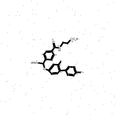 CCCCCCC(Oc1ccc(-c2ccc(F)cc2)c(C)c1)c1ccc(C(=O)NCCC(=O)O)cc1